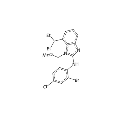 CCC(CC)c1cccc2nc(Nc3ccc(Cl)cc3Br)n(COC)c12